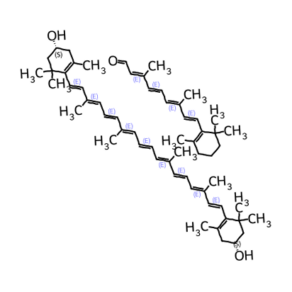 CC1=C(/C=C/C(C)=C/C=C/C(C)=C/C=C/C=C(C)/C=C/C=C(C)/C=C/C2=C(C)C[C@@H](O)CC2(C)C)C(C)(C)C[C@H](O)C1.CC1=C(/C=C/C(C)=C/C=C/C(C)=C/C=O)C(C)(C)CCC1